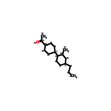 CCCC1CCC(C2CCC(C(C)=O)CC2)C(C)C1